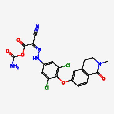 CN1CCc2cc(Oc3c(Cl)cc(NN=C(C#N)C(=O)OC(N)=O)cc3Cl)ccc2C1=O